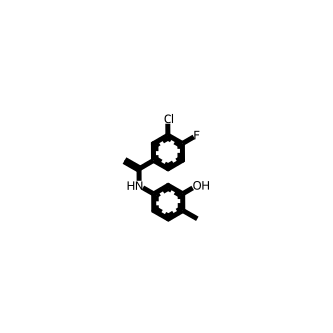 C=C(Nc1ccc(C)c(O)c1)c1ccc(F)c(Cl)c1